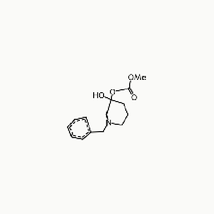 COC(=O)OC1(O)CCCN(Cc2ccccc2)C1